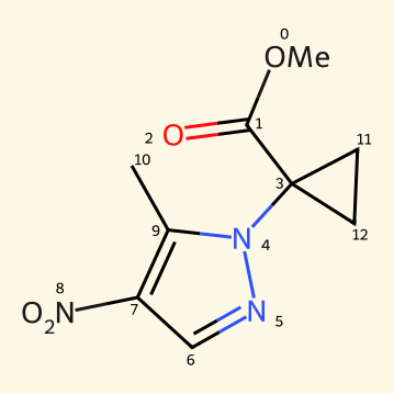 COC(=O)C1(n2ncc([N+](=O)[O-])c2C)CC1